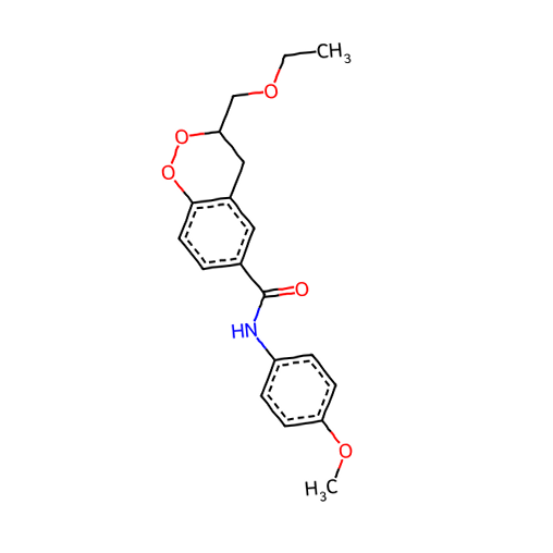 CCOCC1Cc2cc(C(=O)Nc3ccc(OC)cc3)ccc2OO1